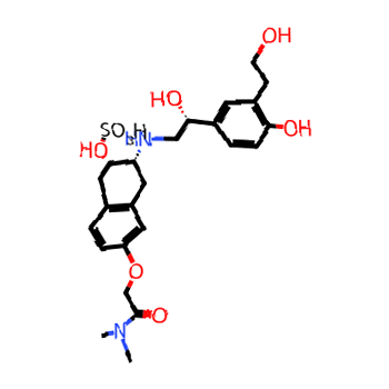 CN(C)C(=O)COc1ccc2c(c1)C[C@@H](NC[C@H](O)c1ccc(O)c(CCO)c1)CC2.O=S(=O)(O)O